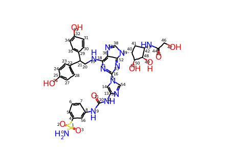 NS(=O)(=O)c1cccc(NC(=O)Nc2cn(-c3nc(NCC(c4ccc(O)cc4)c4ccc(O)cc4)c4ncn([C@@H]5C[C@H](NC(=O)CO)[C@@H](O)[C@H]5O)c4n3)cn2)c1